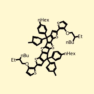 CCCCCCc1ccc(C2(c3ccc(C)cc3)c3cc(-c4sccc4OCC(CC)CCCC)sc3-c3sc4c5c(sc4c32)-c2sc(-c3sccc3OCC(CC)CCCC)cc2C5(c2ccc(C)cc2)c2ccc(CCCCCC)cc2)cc1